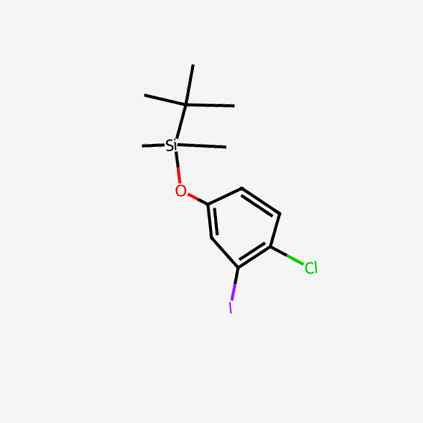 CC(C)(C)[Si](C)(C)Oc1ccc(Cl)c(I)c1